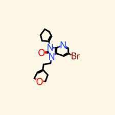 O=c1n(CCC2=CCOCC2)c2cc(Br)cnc2n1C1=CCCCC1